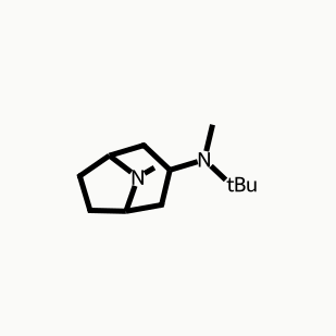 CN1C2CCC1CC(N(C)C(C)(C)C)C2